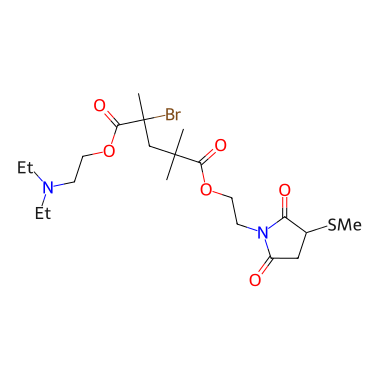 CCN(CC)CCOC(=O)C(C)(Br)CC(C)(C)C(=O)OCCN1C(=O)CC(SC)C1=O